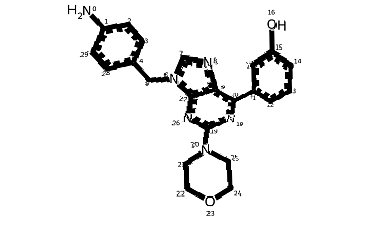 Nc1ccc(Cn2cnc3c(-c4cccc(O)c4)nc(N4CCOCC4)nc32)cc1